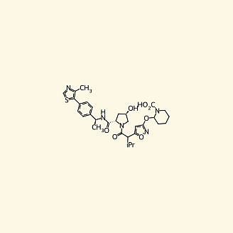 Cc1ncsc1-c1ccc([C@H](C)NC(=O)[C@@H]2C[C@@H](O)CN2C(=O)C(c2cc(OC3CCCCN3C(=O)O)no2)C(C)C)cc1